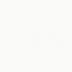 CC(c1cn2c(-c3ccc(F)cc3)ncc2c(=O)[nH]1)N1CC(c2ccc(F)cc2)C1